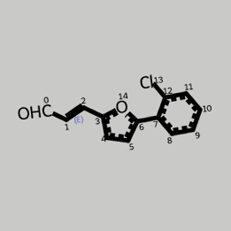 O=C/C=C/c1ccc(-c2ccccc2Cl)o1